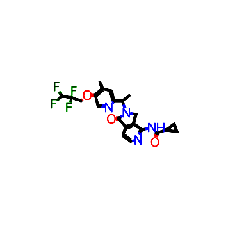 Cc1cc(C(C)N2Cc3c(ccnc3NC(=O)C3CC3)C2=O)ncc1OCC(F)(F)C(F)F